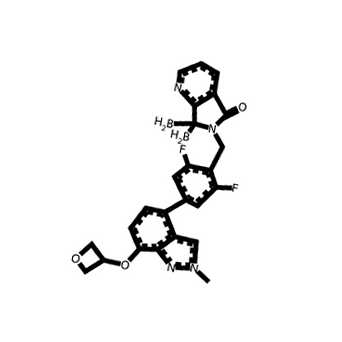 BC1(B)c2ncccc2C(=O)N1Cc1c(F)cc(-c2ccc(OC3COC3)c3nn(C)cc23)cc1F